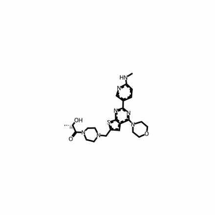 CNc1ccc(-c2nc(N3CCOCC3)c3cc(CN4CCN(C(=O)[C@H](C)O)CC4)sc3n2)cn1